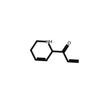 C=CC(=O)C1[C]=CCCN1